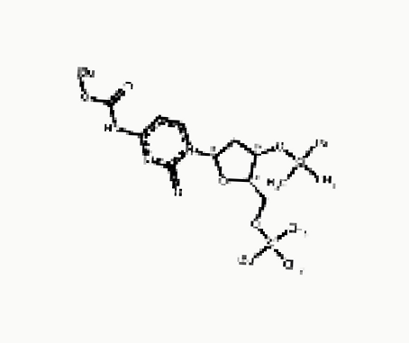 CC(C)(C)OC(=O)Nc1ccn([C@H]2C[C@@H](O[Si](C)(C)C(C)(C)C)[C@@H](CO[Si](C)(C)C(C)(C)C)O2)c(=O)n1